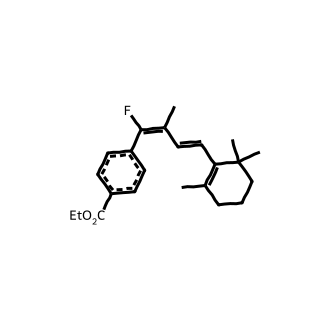 CCOC(=O)c1ccc(C(F)=C(C)C=CC2=C(C)CCCC2(C)C)cc1